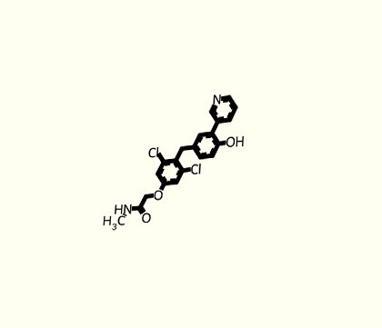 CNC(=O)COc1cc(Cl)c(Cc2ccc(O)c(-c3cccnc3)c2)c(Cl)c1